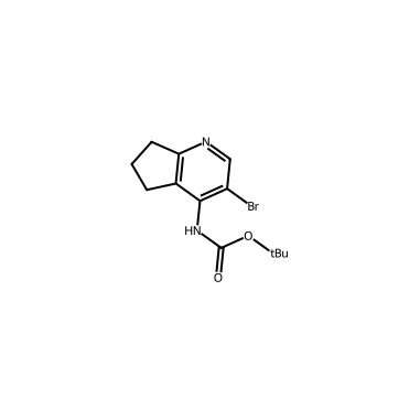 CC(C)(C)OC(=O)Nc1c(Br)cnc2c1CCC2